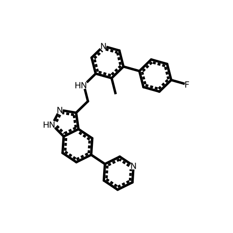 Cc1c(NCc2n[nH]c3ccc(-c4cccnc4)cc23)cncc1-c1ccc(F)cc1